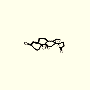 CC12CCC(=O)C=C1CCC1C2=CCC2(C)C1CC[C@@]21CCC(=O)O1